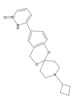 O=[n+]1cccc(-c2ccc3c(c2)COC2(CCN(C4CCC4)CC2)O3)[nH]1